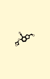 N#Cc1c(OC2COC2)ccc2c1CC(C=O)C2